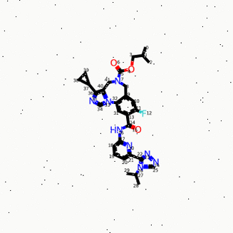 CC(C)COC(=O)N1Cc2cc(F)c(C(=O)Nc3cccc(-c4nncn4C(C)C)n3)cc2-n2cnc(C3CC3)c2C1